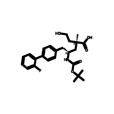 CC(C)(C)OC(=O)N[C@H](Cc1ccc(-c2ccccc2F)cc1)C[C@@](C)(CCO)C(=O)O